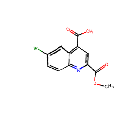 COC(=O)c1cc(C(=O)O)c2cc(Br)ccc2n1